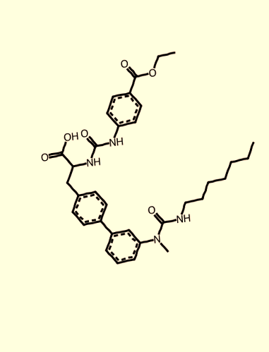 CCCCCCCNC(=O)N(C)c1cccc(-c2ccc(CC(NC(=O)Nc3ccc(C(=O)OCC)cc3)C(=O)O)cc2)c1